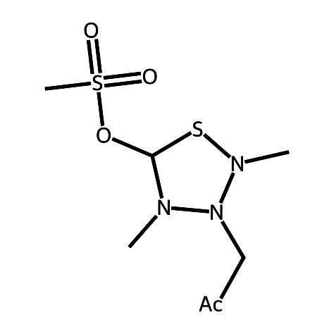 CC(=O)CN1N(C)SC(OS(C)(=O)=O)N1C